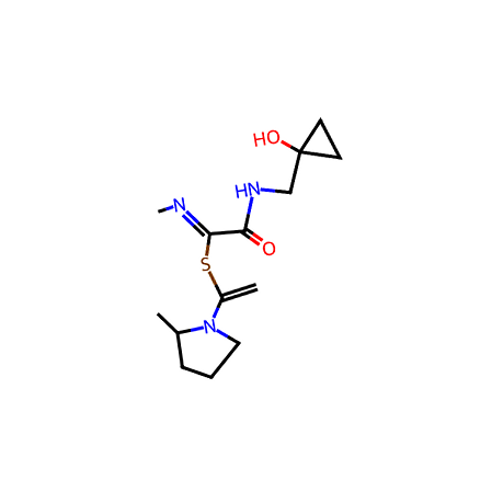 C=C(S/C(=N\C)C(=O)NCC1(O)CC1)N1CCCC1C